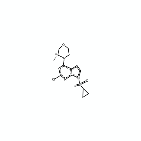 C[C@@H]1COCCN1c1cc(Cl)nc2c1ccn2S(=O)(=O)C1CC1